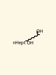 CCCCCCCCC(O)CCCCCCC(C)CO